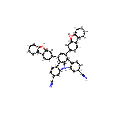 N#Cc1ccc2c3c(-c4ccc5c(c4)oc4ccccc45)cc(-c4ccc5c(c4)oc4ccccc45)c4c5ccc(C#N)cc5n(c2c1)c34